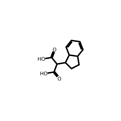 O=C(O)C(C(=O)O)C1CCC2C=CC=CC21